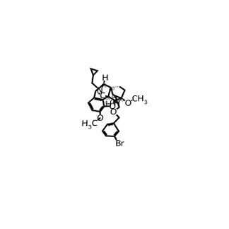 COc1ccc2c3c1O[C@H]1[C@@]4(OC)CC[C@@]5(C[C@@H]4COCc4cccc(Br)c4)[C@@H](C2)N(CC2CC2)CC[C@]315